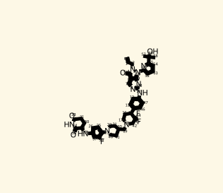 C=CCn1c(=O)c2cnc(Nc3ccc(C4CCN(CC5CCN(c6ccc(NC7CCC(=O)NC7=O)cc6F)CC5)CC4(F)F)cc3)nc2n1-c1cccc(C(C)(C)O)n1